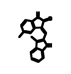 Cc1ccc2c(c1)C(=Cc1[nH]c3ccccc3c1C)C(=O)N2